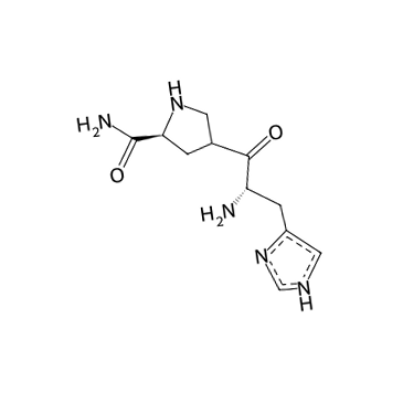 NC(=O)[C@@H]1CC(C(=O)[C@@H](N)Cc2c[nH]cn2)CN1